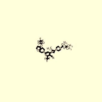 C[C@@H]1[C@H](N2CCN(C(=O)OC(C)(C)C)CC2)CN1c1cc(N2CCC3(CC2)OCC=C3OS(=O)(=O)C(F)(F)F)nc(C(F)(F)F)c1C#N